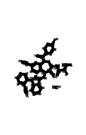 CN[C@@H](C)C(=O)N[C@H]1CN(C(=O)c2ccc(F)cc2)c2cc(C#N)ccc2N(Cc2nn(-c3ccccc3C#N)c3ccccc23)C1=O.Cl